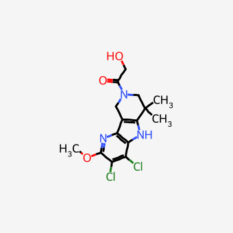 COc1nc2c3c([nH]c2c(Cl)c1Cl)C(C)(C)CN(C(=O)CO)C3